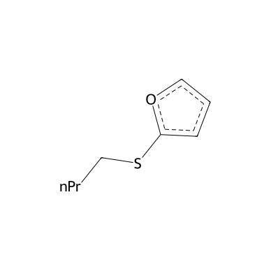 CCCCSc1ccco1